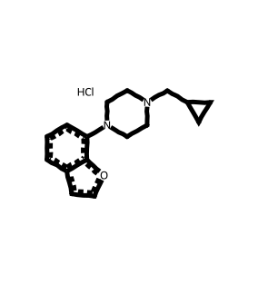 Cl.c1cc(N2CCN(CC3CC3)CC2)c2occc2c1